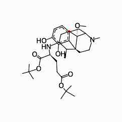 CO[C@@]12CCC(N[C@@H](CCC(=O)OC(C)(C)C)C(=O)OC(C)(C)C)[C@H](C)[C@@]13CCN(C)C2Cc1ccc(O)c(O)c13